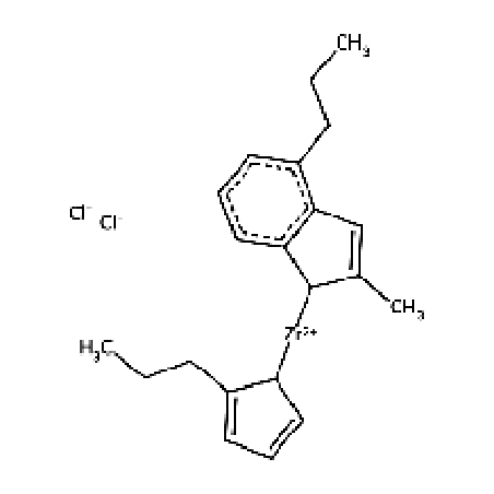 CCCC1=CC=C[CH]1[Zr+2][CH]1C(C)=Cc2c(CCC)cccc21.[Cl-].[Cl-]